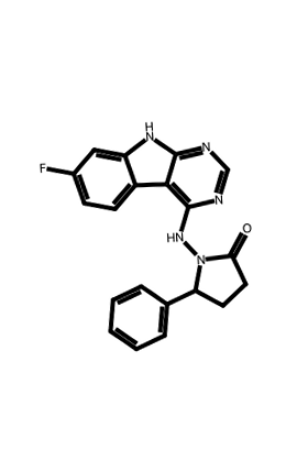 O=C1CCC(c2ccccc2)N1Nc1ncnc2[nH]c3cc(F)ccc3c12